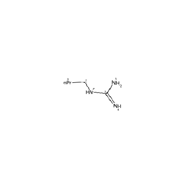 CCC[CH]NC(=N)N